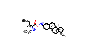 CC(=O)[C@H]1CC[C@H]2[C@@H]3CCC4=C/C(=N/OC(=O)C(NC(=O)O)[C@@H](C)CC(C)(C)C)CC[C@]4(C)[C@H]3CC[C@]12C